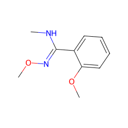 CN/C(=N\OC)c1ccccc1OC